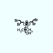 CC(C)(CO)COP(=O)(OCC(Br)CBr)OCC(Br)CBr